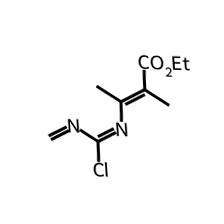 C=N/C(Cl)=N\C(C)=C(/C)C(=O)OCC